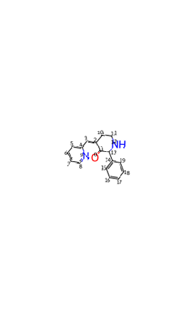 O=C1/C(=C\c2ccccn2)CCNC1c1ccccc1